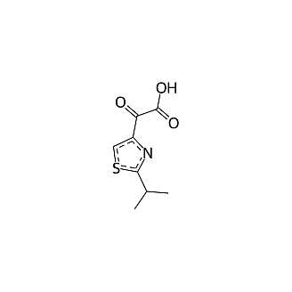 CC(C)c1nc(C(=O)C(=O)O)cs1